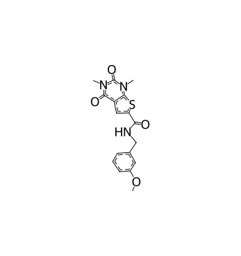 COc1cccc(CNC(=O)c2cc3c(=O)n(C)c(=O)n(C)c3s2)c1